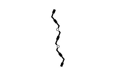 C#CCC#CCOCC#CCOCC#CCC#C